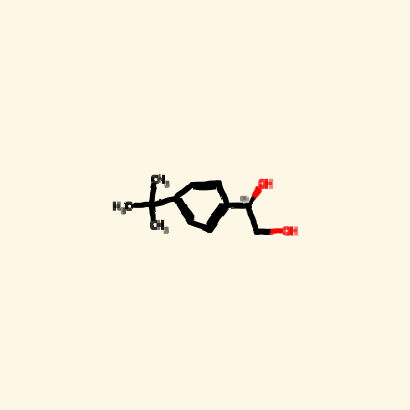 CC(C)(C)c1ccc([C@@H](O)CO)cc1